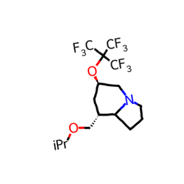 CC(C)OC[C@@H]1C[C@@H](OC(C(F)(F)F)(C(F)(F)F)C(F)(F)F)CN2CCCC12